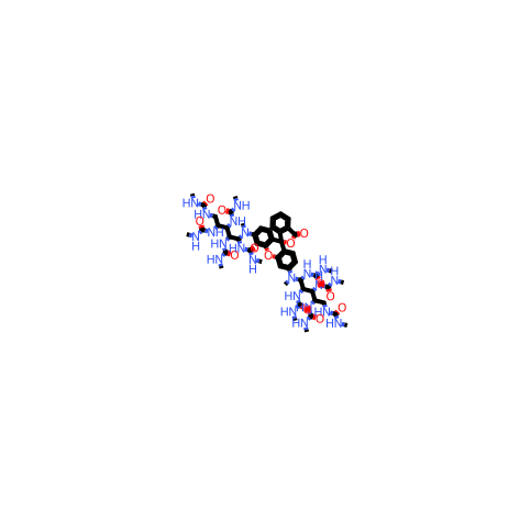 CNC(=O)NCC(NC(=O)NC)C(NC(=O)NC)C(NC(=O)NC)C(NC(=O)NC)N(C)c1ccc2c(c1)Oc1cc(N(C)C(NC(=O)NC)C(NC(=O)NC)C(NC(=O)NC)C(CNC(=O)NC)NC(=O)NC)ccc1C21OC(=O)c2ccccc21